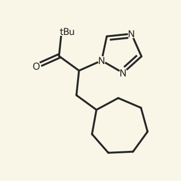 CC(C)(C)C(=O)C(CC1CCCCCC1)n1cncn1